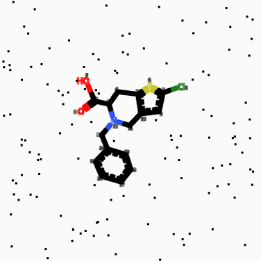 O=C(O)C1Cc2sc(Cl)cc2CN1Cc1ccccc1